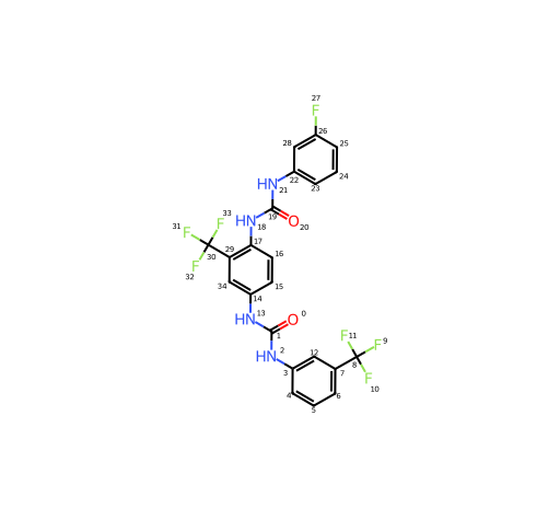 O=C(Nc1cccc(C(F)(F)F)c1)Nc1ccc(NC(=O)Nc2cccc(F)c2)c(C(F)(F)F)c1